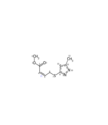 COC(=O)/C=[C]\CSc1nnc(C)s1